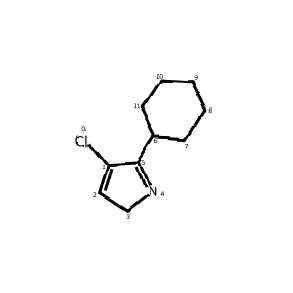 ClC1=CCN=C1C1CCCCC1